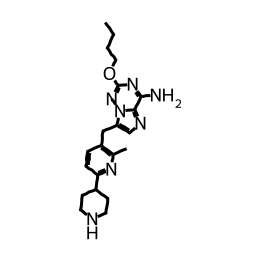 CCCCOc1nc(N)c2ncc(Cc3ccc(C4CCNCC4)nc3C)n2n1